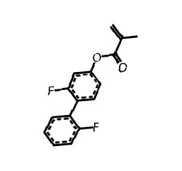 C=C(C)C(=O)Oc1ccc(-c2ccccc2F)c(F)c1